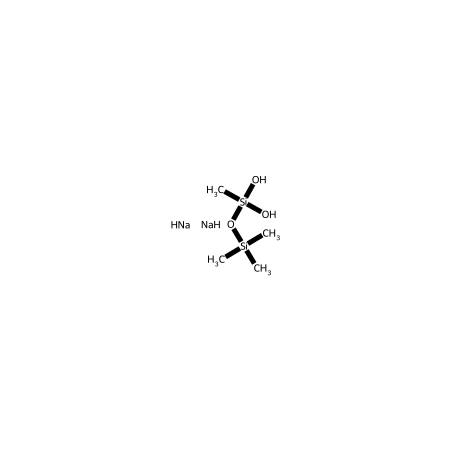 C[Si](C)(C)O[Si](C)(O)O.[NaH].[NaH]